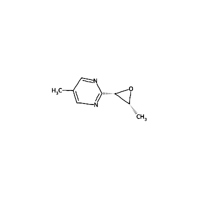 Cc1cnc([C@@H]2O[C@@H]2C)nc1